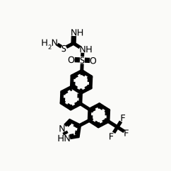 N=C(NS(=O)(=O)c1ccc2c(-c3ccc(C(F)(F)F)cc3-c3cn[nH]c3)cccc2c1)SN